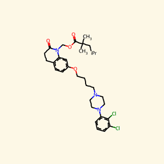 CC(C)CC(C)(C)C(=O)OCN1C(=O)CCc2ccc(OCCCCN3CCN(c4cccc(Cl)c4Cl)CC3)cc21